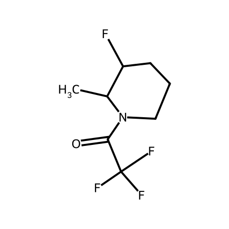 CC1C(F)CCCN1C(=O)C(F)(F)F